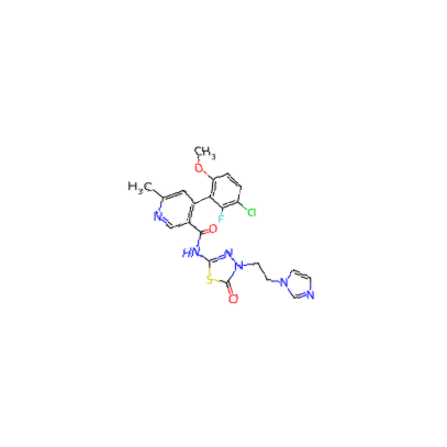 COc1ccc(Cl)c(F)c1-c1cc(C)ncc1C(=O)Nc1nn(CCn2ccnc2)c(=O)s1